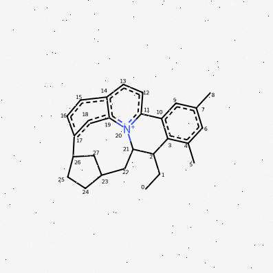 CCC1c2c(C)cc(C)cc2-c2ccc3ccc4cc3[n+]2C1CC1CCC4C1